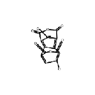 O=c1oc(=O)c2c(Cl)cc1c1c3c(Cl)cc(c(=O)oc3=O)c21